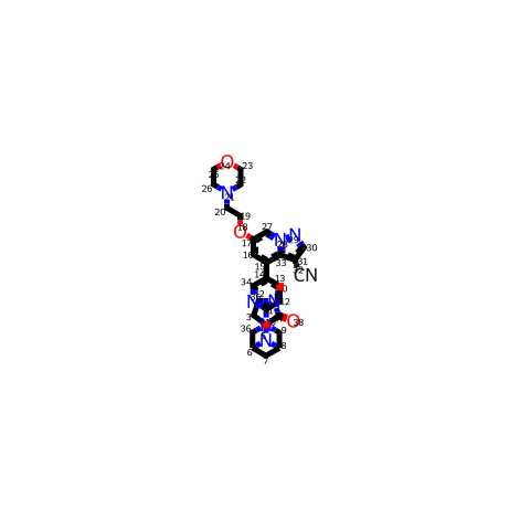 CN1CCC(N2C3CC2CN(c2ccc(-c4cc(OCCN5CCOCC5)cn5ncc(C#N)c45)cn2)C3)C1=O